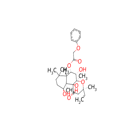 C=C[C@@]1(C)CC(=O)[C@]2(O)[C@@]3(C)[C@@H](O)CCC(C)(C)[C@@H]3[C@H](OC(=O)COc3ccccc3)[C@H](O)[C@@]2(C)O1